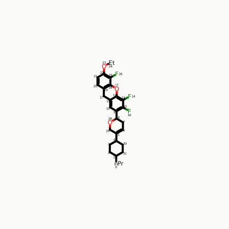 CCCC1CCC(C2=CCC(c3cc4c(c(F)c3F)Oc3c(ccc(OCC)c3F)C4)OC2)CC1